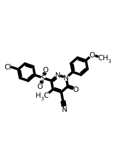 COc1ccc(-n2nc(S(=O)(=O)c3ccc(Cl)cc3)c(C)c(C#N)c2=O)cc1